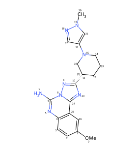 COc1ccc2nc(N)n3nc([C@H]4CCCN(c5cnn(C)c5)C4)nc3c2c1